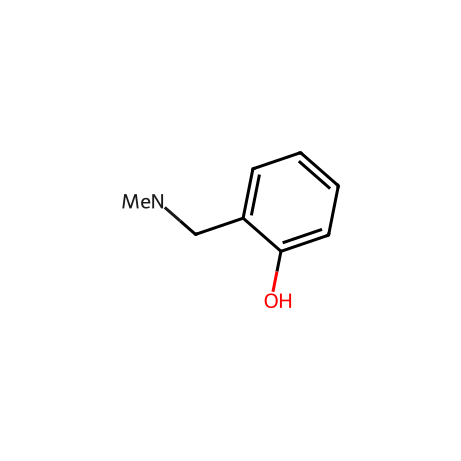 [CH2-][NH2+]Cc1ccccc1O